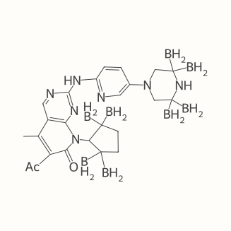 BC1(B)CN(c2ccc(Nc3ncc4c(C)c(C(C)=O)c(=O)n(C5C(B)(B)CCC5(B)B)c4n3)nc2)CC(B)(B)N1